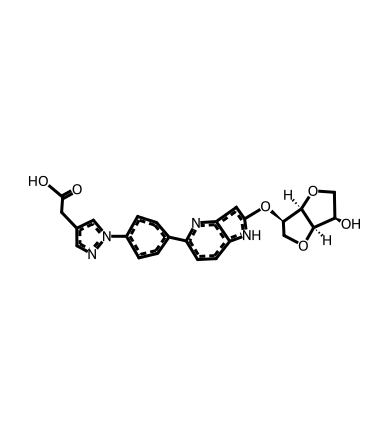 O=C(O)Cc1cnn(-c2ccc(-c3ccc4[nH]c(O[C@@H]5CO[C@H]6[C@@H]5OC[C@H]6O)cc4n3)cc2)c1